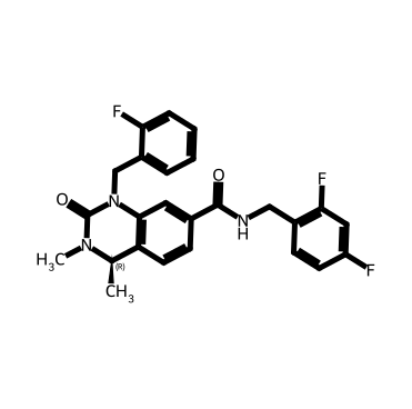 C[C@@H]1c2ccc(C(=O)NCc3ccc(F)cc3F)cc2N(Cc2ccccc2F)C(=O)N1C